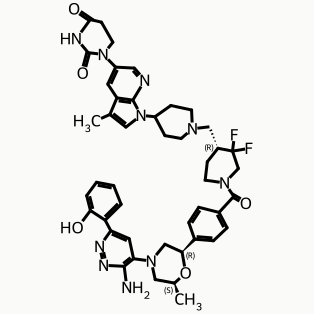 Cc1cn(C2CCN(C[C@H]3CCN(C(=O)c4ccc([C@@H]5CN(c6cc(-c7ccccc7O)nnc6N)C[C@H](C)O5)cc4)CC3(F)F)CC2)c2ncc(N3CCC(=O)NC3=O)cc12